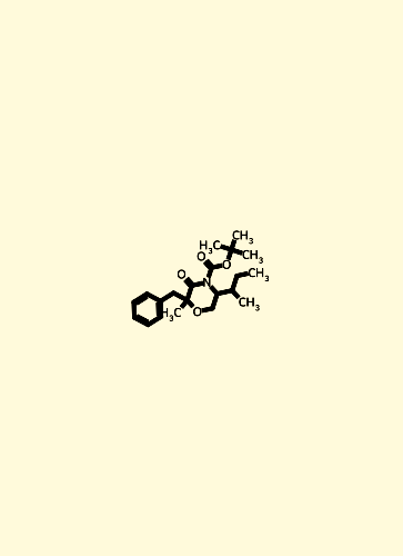 CCC(C)C1COC(C)(Cc2ccccc2)C(=O)N1C(=O)OC(C)(C)C